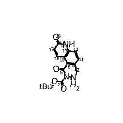 CC(C)(C)OC(=O)N(N)C(=O)c1c(F)ccc2[nH]c(=O)ccc12